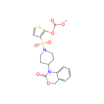 COC(=O)Oc1sccc1S(=O)(=O)N1CCC(N2C(=O)OCc3ccccc32)CC1